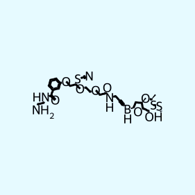 CSS[C@H](C)O[C@@H]1C[C@H](BC#CCNC(=O)COCCOC(COc2cccc(C(=O)NCCN)c2)SC#N)OC1CO